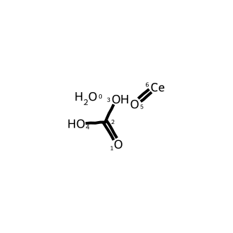 O.O=C(O)O.[O]=[Ce]